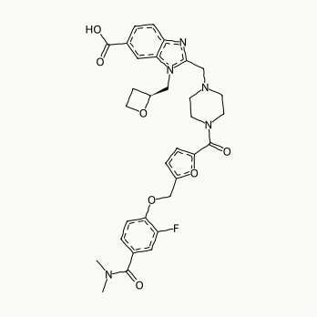 CN(C)C(=O)c1ccc(OCc2ccc(C(=O)N3CCN(Cc4nc5ccc(C(=O)O)cc5n4C[C@@H]4CCO4)CC3)o2)c(F)c1